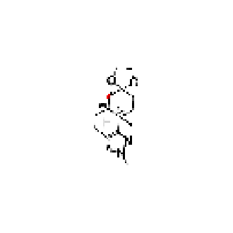 Cn1cc2c(n1)[C@@]1(C)CCC3(OCCO3)C3(CCCC3)[C@@H]1CC2